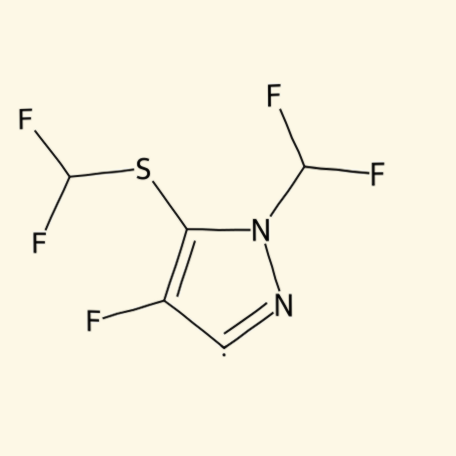 Fc1[c]nn(C(F)F)c1SC(F)F